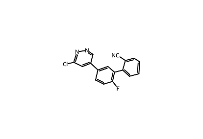 N#Cc1ccccc1-c1cc(-c2cnnc(Cl)c2)ccc1F